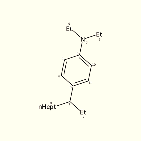 CCCCCCCC(CC)c1ccc(N(CC)CC)cc1